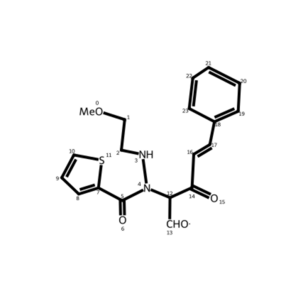 COCCNN(C(=O)c1cccs1)C([C]=O)C(=O)C=Cc1ccccc1